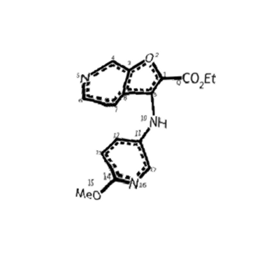 CCOC(=O)c1oc2cnccc2c1Nc1ccc(OC)nc1